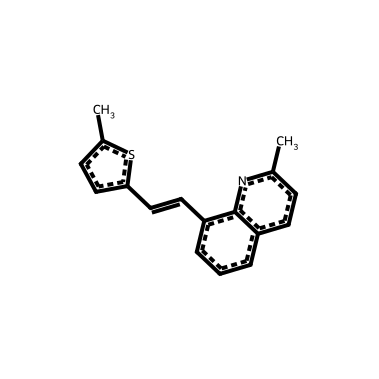 Cc1ccc2cccc(/C=C/c3ccc(C)s3)c2n1